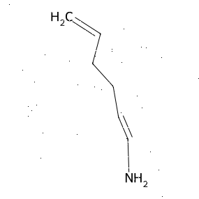 C=CCCC=CN